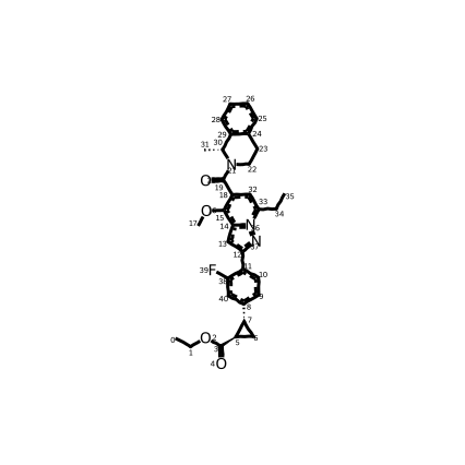 CCOC(=O)[C@@H]1C[C@H]1c1ccc(-c2cc3c(OC)c(C(=O)N4CCc5ccccc5[C@H]4C)cc(CC)n3n2)c(F)c1